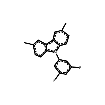 Cc1ccc2c(c1)c1cc(C)ccc1n2-c1cc(F)cc(F)c1